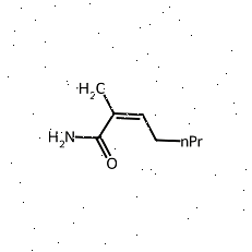 [CH2]C(=CCCCC)C(N)=O